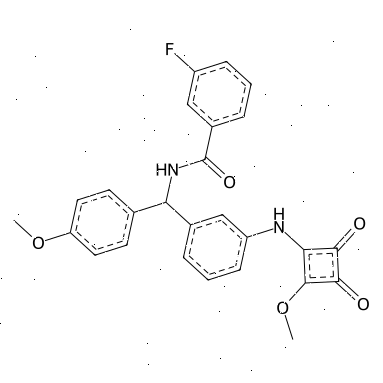 COc1ccc(C(NC(=O)c2cccc(F)c2)c2cccc(Nc3c(OC)c(=O)c3=O)c2)cc1